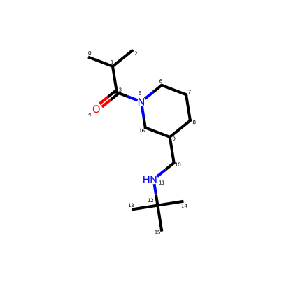 CC(C)C(=O)N1CCCC(CNC(C)(C)C)C1